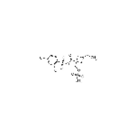 CCN1CC(COS(C)(=O)=O)(C(=O)OS(=O)(=O)c2ccc(Cl)cc2Cl)C1